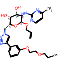 C=CCO[C@H]1O[C@H](Cn2cc(-c3cccc(OCCOCCC(C)C)c3)nn2)[C@H](O)[C@H](O)[C@H]1Nc1nccc(C(F)(F)F)n1